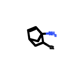 CCC1CC2C=CC1(N)C2